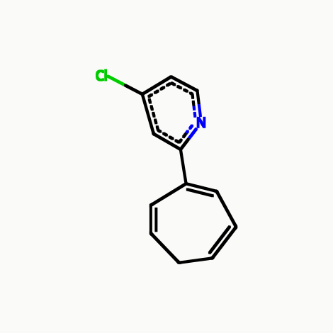 Clc1ccnc(C2=CC=CCC=C2)c1